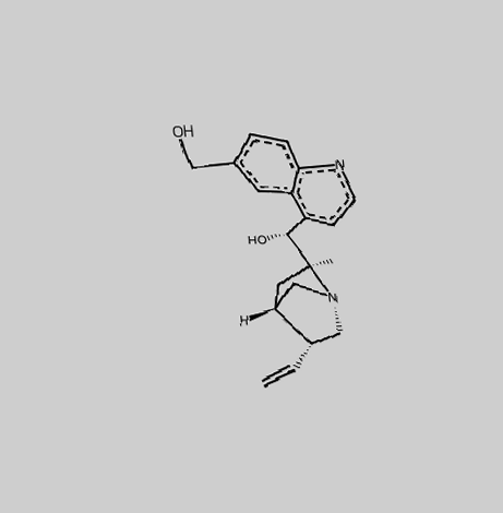 C=C[C@H]1C[N@]2C[C@H]1C[C@@]2(C)[C@H](O)c1ccnc2ccc(CO)cc12